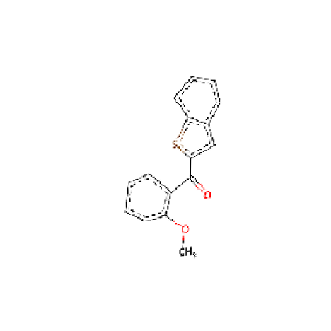 COc1ccccc1C(=O)c1cc2ccccc2s1